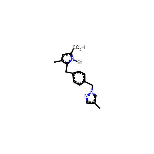 CCn1c(C(=O)O)cc(C)c1Cc1ccc(Cn2cc(C)cn2)cc1